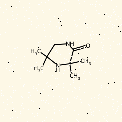 CC1(C)CNC(=O)C(C)(C)N1